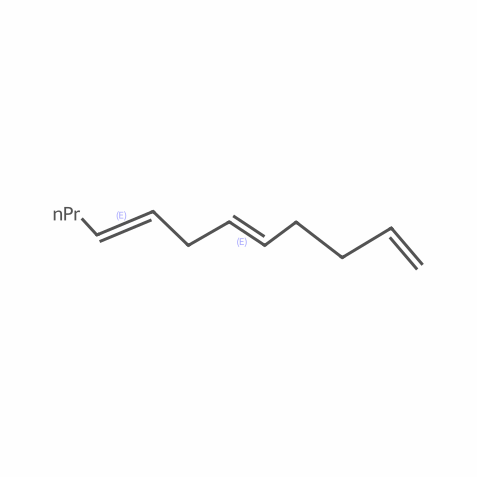 C=CCC/C=C/C/C=C/CCC